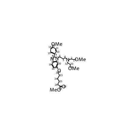 COCCN(CCCn1c(-c2ccc(OC)cc2)nc2ccc(OCCCCCC(=O)OC)cc21)CCOC